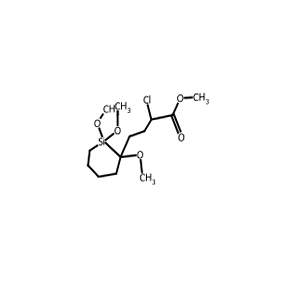 COC(=O)C(Cl)CCC1(OC)CCCC[Si]1(OC)OC